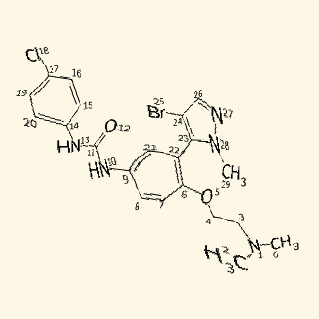 CN(C)CCOc1ccc(NC(=O)Nc2ccc(Cl)cc2)cc1-c1c(Br)cnn1C